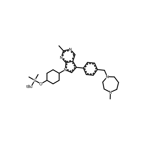 Cc1ncc2c(-c3ccc(CN4CCCN(C)CC4)cc3)cn(C3CCC(O[Si](C)(C)C(C)(C)C)CC3)c2n1